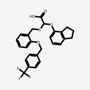 O=C(O)C(Oc1cccc2c1CCC2)SCc1ccccc1OCc1ccc(C(F)(F)F)cc1